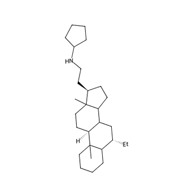 CC[C@H]1CC2C3CC[C@H](CCNC4CCCC4)C3(C)CC[C@@H]2C2(C)CCCCC12